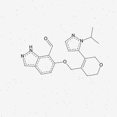 CC(C)n1nccc1C1=C(COc2ccc3cn[nH]c3c2C=O)CCOC1